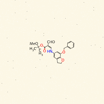 COC(C)(C)OC(=O)/C(C=O)=C\Nc1cc2c(c(OCc3ccccc3)c1)OCC2